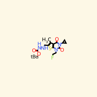 Cc1c(CNNC(=O)OC(C)(C)C)sc2c1c(=O)n(C1CC1)c(=O)n2CCF